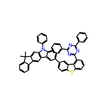 CC1(C)c2ccccc2-c2cc3c4cc(-c5ccc6sc7cccc(-c8nc(-c9ccccc9)nc(-c9ccccc9)n8)c7c6c5)ccc4n(-c4ccccc4)c3cc21